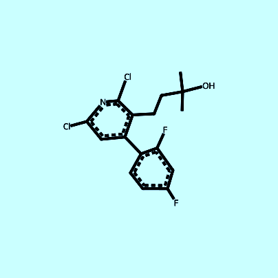 CC(C)(O)CCc1c(-c2ccc(F)cc2F)cc(Cl)nc1Cl